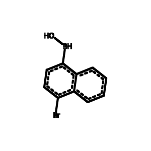 OBc1ccc(Br)c2ccccc12